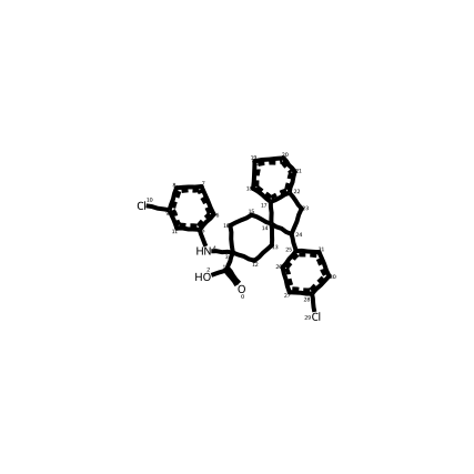 O=C(O)C1(Nc2cccc(Cl)c2)CCC2(CC1)c1ccccc1CC2c1ccc(Cl)cc1